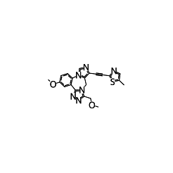 COCc1nnc2n1Cc1c(C#Cc3ncc(C)s3)ncn1-c1ccc(OC)cc1-2